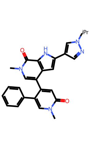 CC(C)n1cc(-c2cc3c(-c4cc(=O)n(C)cc4-c4ccccc4)cn(C)c(=O)c3[nH]2)cn1